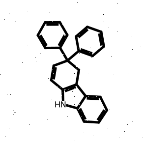 C1=CC(c2ccccc2)(c2ccccc2)Cc2c1[nH]c1ccccc21